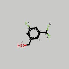 OCc1cc(F)cc(C(F)F)c1